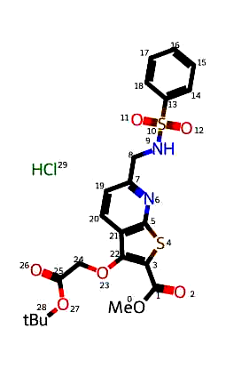 COC(=O)c1sc2nc(CNS(=O)(=O)c3ccccc3)ccc2c1OCC(=O)OC(C)(C)C.Cl